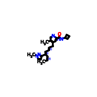 C\C=C/C(=C\C=C\Cc1cc(C(=O)NC2CCC2)ncc1C)c1ccn(C)n1